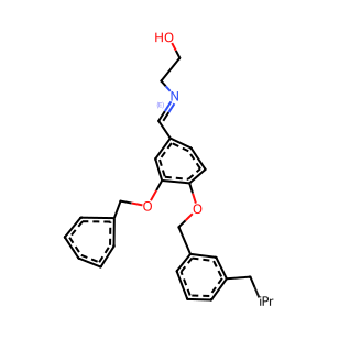 CC(C)Cc1cccc(COc2ccc(/C=N/CCO)cc2OCc2ccccc2)c1